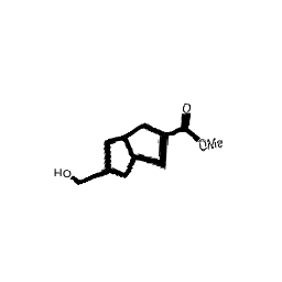 COC(=O)C1CC2CC(CO)CC2C1